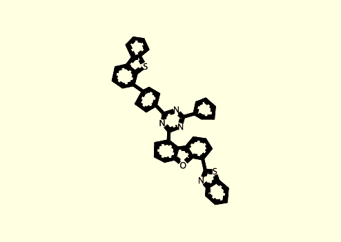 c1ccc(-c2nc(-c3ccc(-c4cccc5c4sc4ccccc45)cc3)nc(-c3cccc4oc5c(-c6nc7ccccc7s6)cccc5c34)n2)cc1